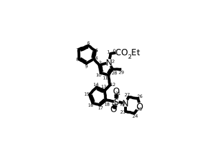 CCOC(=O)Cn1c(-c2ccccc2)cc(Cc2ccccc2S(=O)(=O)N2CCOCC2)c1C